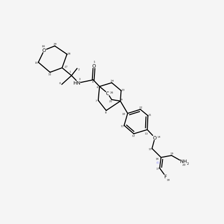 CC(C)(NC(=O)C12CCC(c3ccc(OC/C(=C/F)CN)cc3)(CC1)CC2)C1CCOCC1